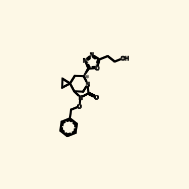 O=C1N(OCc2ccccc2)C2CN1[C@H](c1nnc(CCO)o1)CC21CC1